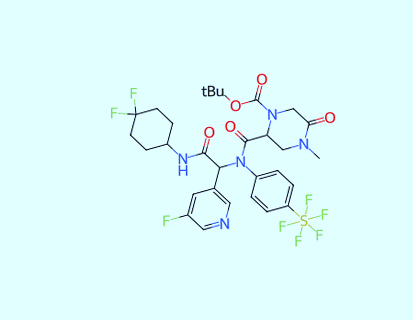 CN1CC(C(=O)N(c2ccc(S(F)(F)(F)(F)F)cc2)C(C(=O)NC2CCC(F)(F)CC2)c2cncc(F)c2)N(C(=O)OC(C)(C)C)CC1=O